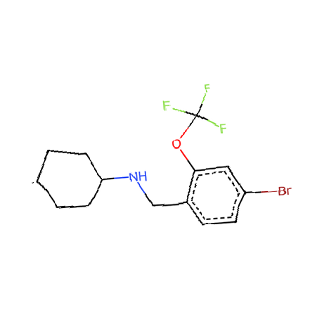 FC(F)(F)Oc1cc(Br)ccc1CNC1CC[CH]CC1